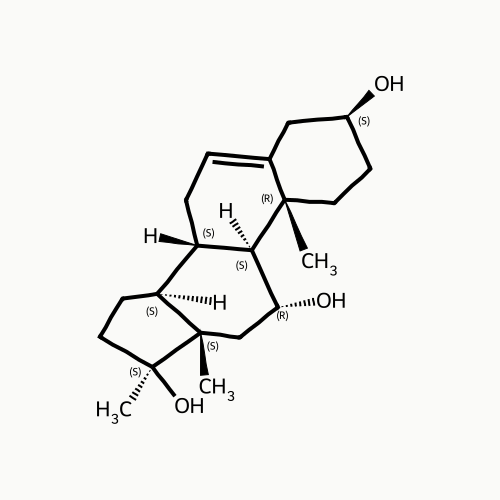 C[C@]12CC[C@H](O)CC1=CC[C@@H]1[C@@H]2[C@H](O)C[C@@]2(C)[C@H]1CC[C@]2(C)O